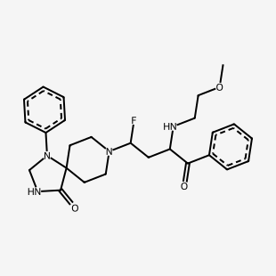 COCCNC(CC(F)N1CCC2(CC1)C(=O)NCN2c1ccccc1)C(=O)c1ccccc1